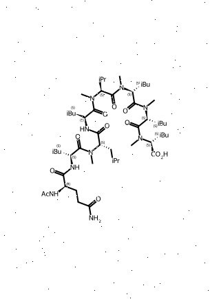 CC[C@H](C)[C@H](NC(=O)[C@H](CC(C)C)N(C)C(=O)[C@@H](NC(=O)[C@@H](CCC(N)=O)NC(C)=O)[C@@H](C)CC)C(=O)N(C)[C@H](C(=O)N(C)[C@H](C(=O)N(C)[C@H](C(=O)N(C)[C@H](C(=O)O)[C@@H](C)CC)[C@@H](C)CC)[C@@H](C)CC)C(C)C